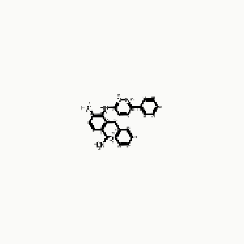 NC(=O)c1ccc(C(F)(F)F)c(Nc2ccc(-c3ccccc3)nn2)c1Cc1ccccc1